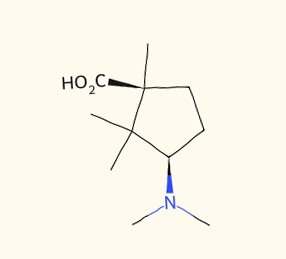 CN(C)[C@@H]1CC[C@](C)(C(=O)O)C1(C)C